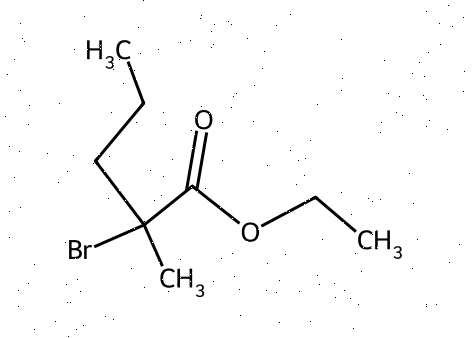 CCCC(C)(Br)C(=O)OCC